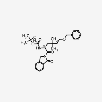 CC(C)(CCOCc1ccccc1)C[C@H](NC(=O)OC(C)(C)C)C(=O)N1Cc2ccccc2C1=O